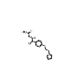 O=C(O)CNC(=O)c1ccc(OCCn2cccc2)cc1